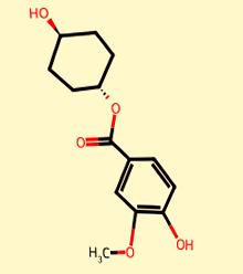 COc1cc(C(=O)O[C@H]2CC[C@H](O)CC2)ccc1O